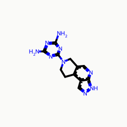 Nc1nc(N)nc(N2CCc3c(cnc4[nH]ncc34)C2)n1